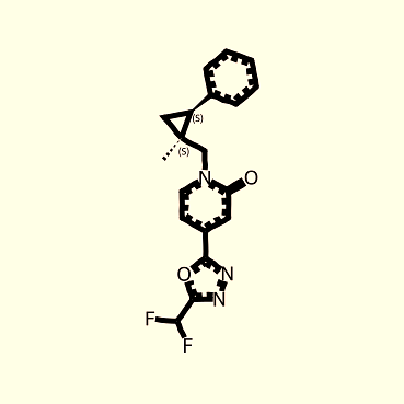 C[C@]1(Cn2ccc(-c3nnc(C(F)F)o3)cc2=O)C[C@H]1c1ccccc1